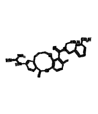 Cc1ccc2c(c1C(=O)N(CC(=O)O)Cc1cccc(C(=O)O)c1)OCCCc1cc(NC(=N)N)ccc1C(=O)O2